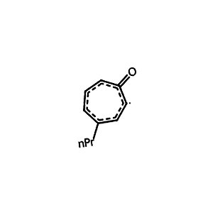 CCCc1c[c]c(=O)ccc1